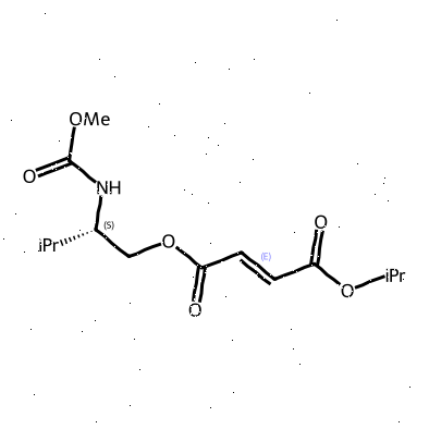 COC(=O)N[C@H](COC(=O)/C=C/C(=O)OC(C)C)C(C)C